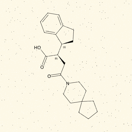 O=C(O)[C@H](CC(=O)N1CCC2(CCCC2)CC1)[C@@H]1CCc2ccccc21